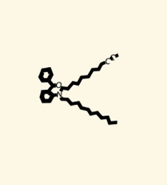 CCCCCCCCCCCCN(CCCCCCCCCCCC)c1ccccc1C(=O)c1ccccc1